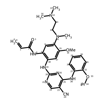 C=CC(=O)Nc1cc(N(C)CCN(C)C)c(OC)cc1Nc1ncc(C#N)c(Nc2ccccc2OC(C)C)n1